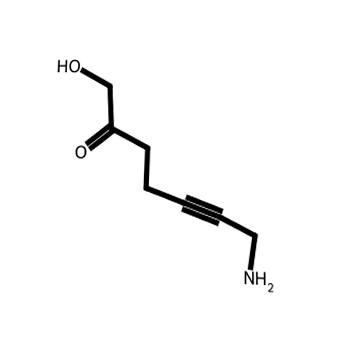 NCC#CCCC(=O)CO